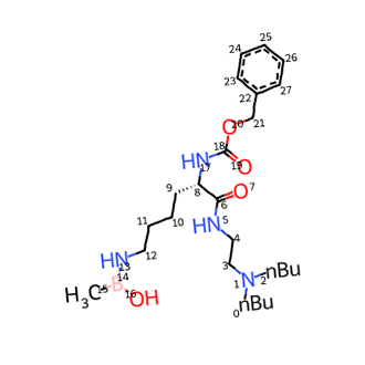 CCCCN(CCCC)CCNC(=O)[C@H](CCCCNB(C)O)NC(=O)OCc1ccccc1